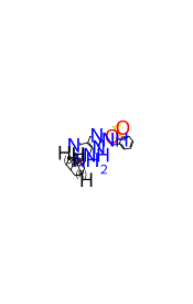 CS(=O)(=O)c1ccccc1CNc1ncc(C#N)c(NC[C@]23CC4C[C@H](C2)[C@@H](N)[C@@H](C4)C3)n1